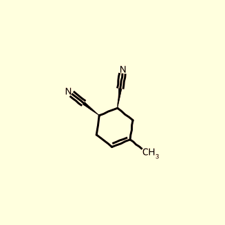 CC1=CC[C@@H](C#N)[C@@H](C#N)C1